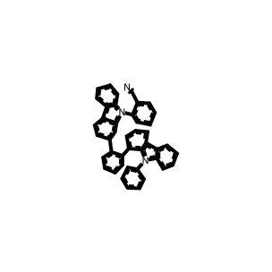 N#Cc1ccccc1-n1c2ccccc2c2ccc(-c3ccccc3-c3cccc4c5ccccc5n(-c5ccccc5)c34)cc21